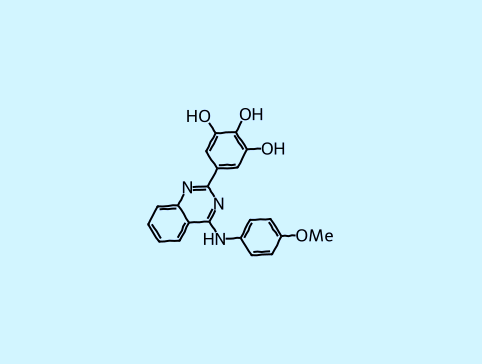 COc1ccc(Nc2nc(-c3cc(O)c(O)c(O)c3)nc3ccccc23)cc1